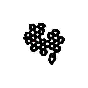 CC(C)(C)c1cc2c3c(c1)N(c1c(-c4ccccc4)cccc1-c1ccccc1)c1cc4c(cc1B3c1ccccc1N2c1c(-c2ccccc2)cccc1-c1ccccc1)B1c2ccccc2N(c2c(-c3ccccc3)cccc2-c2ccccc2)c2cc(NC3CC5CC(C3)C3CC3C5)cc(c21)N4c1ccccc1